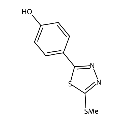 CSc1nnc(-c2ccc(O)cc2)s1